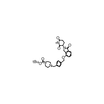 CN1C(=O)CCC(N2Cc3c(OCc4ccc(CN5CCN(C(=O)OC(C)(C)C)CC5)cc4)cccc3C2=O)C1=O